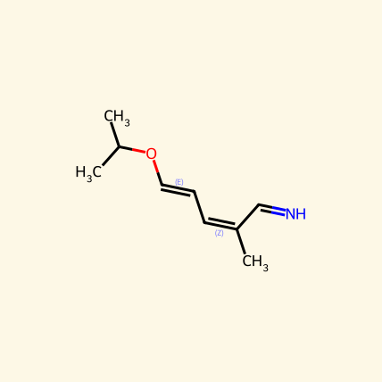 C/C(C=N)=C/C=C/OC(C)C